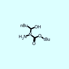 CCCCC(O)N(N)C(=O)OC(C)(C)C